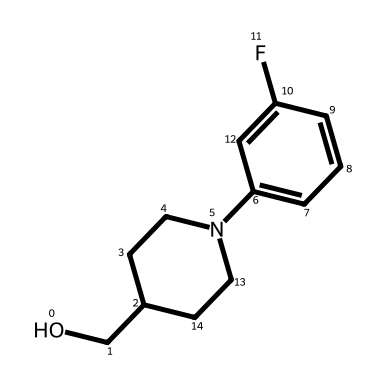 OCC1CCN(c2cccc(F)c2)CC1